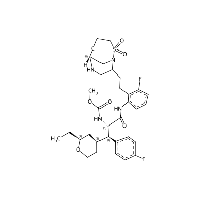 CC[C@H]1C[C@@H]([C@H](c2ccc(F)cc2)[C@H](NC(=O)OC)C(=O)Nc2cccc(F)c2CCC2CN[C@@H]3CCCS(=O)(=O)N2C3)CCO1